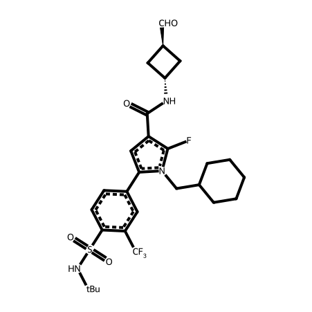 CC(C)(C)NS(=O)(=O)c1ccc(-c2cc(C(=O)N[C@H]3C[C@H](C=O)C3)c(F)n2CC2CCCCC2)cc1C(F)(F)F